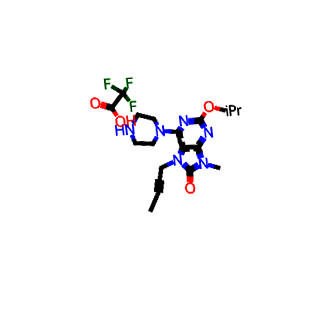 CC#CCn1c(=O)n(C)c2nc(OC(C)C)nc(N3CCNCC3)c21.O=C(O)C(F)(F)F